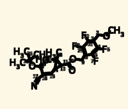 COCc1c(F)c(F)c(COC(=O)C2C(C=C(C#N)C(=O)OC(C)(C)C)C2(C)C)c(F)c1F